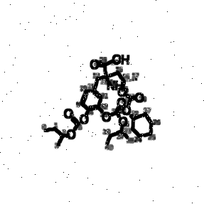 CCC(C)OC(=O)Oc1ccc(CC(N)(C[C@H](C)OC(=O)OC2CCCCC2)C(=O)O)cc1OC(=O)OC(C)CC